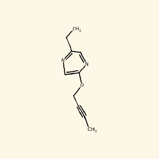 CC#CCOc1cnc(CC)cn1